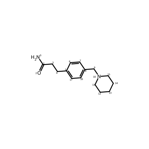 NC(=O)CCc1ccc(CN2CCCCC2)cc1